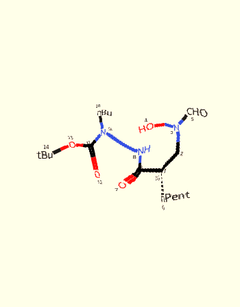 CCCCC[C@@H](CN(O)C=O)C(=O)NN(CCCC)C(=O)OC(C)(C)C